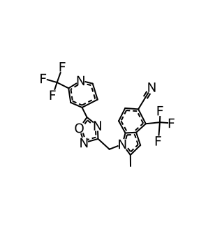 Cc1cc2c(C(F)(F)F)c(C#N)ccc2n1Cc1noc(-c2ccnc(C(F)(F)F)c2)n1